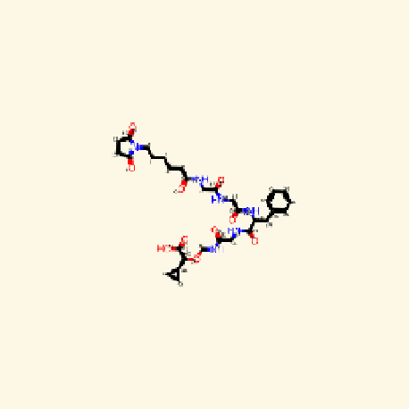 O=C(CCCCCN1C(=O)C=CC1=O)NCC(=O)NCC(=O)NC(Cc1ccccc1)C(=O)NCC(=O)NCOC(C(=O)O)C1CC1